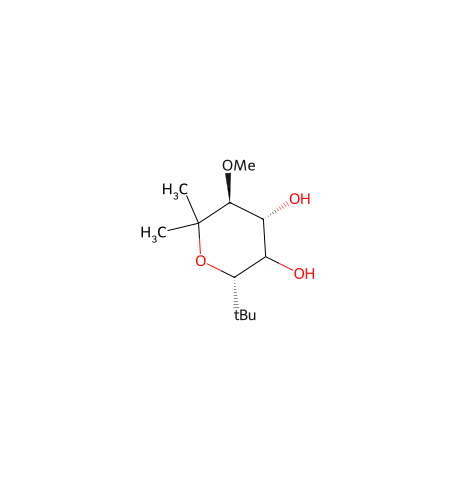 CO[C@H]1[C@H](O)C(O)[C@H](C(C)(C)C)OC1(C)C